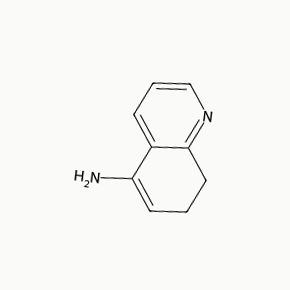 NC1=CCCc2ncccc21